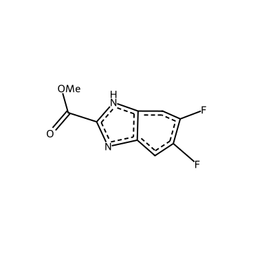 COC(=O)c1nc2cc(F)c(F)cc2[nH]1